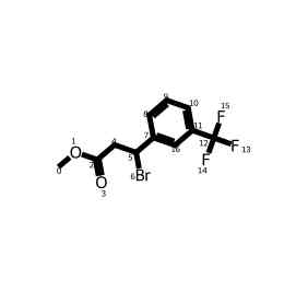 COC(=O)CC(Br)c1cccc(C(F)(F)F)c1